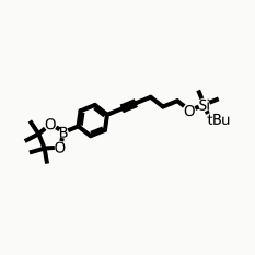 CC1(C)OB(c2ccc(C#CCCCO[Si](C)(C)C(C)(C)C)cc2)OC1(C)C